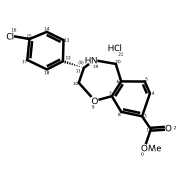 COC(=O)c1ccc2c(c1)OC[C@H](c1ccc(Cl)cc1)NC2.Cl